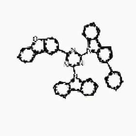 c1ccc(-c2ccc3c4ccccc4n(-c4nc(-c5ccc6oc7ccccc7c6c5)nc(-n5c6ccccc6c6ccccc65)n4)c3c2)cc1